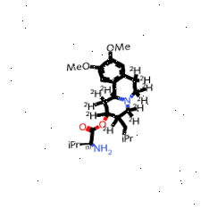 [2H]C1([2H])c2cc(OC)c(OC)cc2C2([2H])N(C1([2H])[2H])C([2H])([2H])C([2H])(CC(C)C)C([2H])(OC(=O)[C@@H](N)C(C)C)C2([2H])[2H]